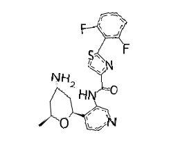 C[C@H]1C[C@H](N)C[C@@H](c2ccncc2NC(=O)c2csc(-c3c(F)cccc3F)n2)O1